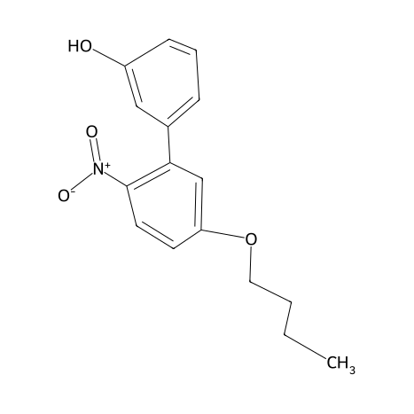 CCCCOc1ccc([N+](=O)[O-])c(-c2cccc(O)c2)c1